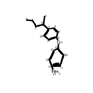 CCCC(C)c1ccc(Oc2ccc(N)cc2)cc1